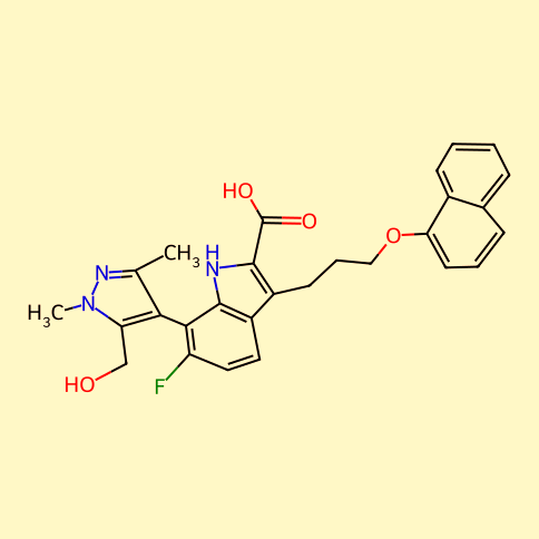 Cc1nn(C)c(CO)c1-c1c(F)ccc2c(CCCOc3cccc4ccccc34)c(C(=O)O)[nH]c12